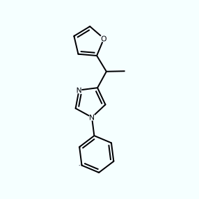 CC(c1cn(-c2c[c]ccc2)cn1)c1ccco1